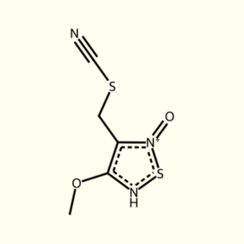 COc1[nH]s[n+](=O)c1CSC#N